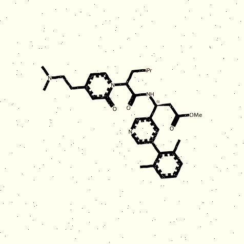 COC(=O)C[C@H](NC(=O)C(CC(C)C)n1ccc(CCN(C)C)cc1=O)c1cncc(-c2c(C)cccc2C)c1